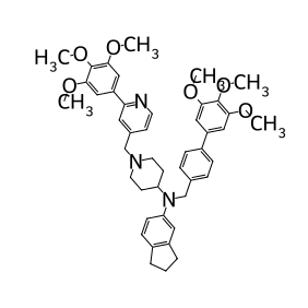 COc1cc(-c2ccc(CN(c3ccc4c(c3)CCC4)C3CCN(Cc4ccnc(-c5cc(OC)c(OC)c(OC)c5)c4)CC3)cc2)cc(OC)c1OC